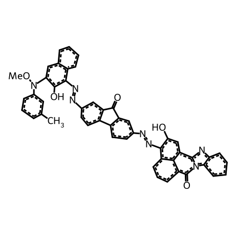 CON(c1cccc(C)c1)c1cc2ccccc2c(N=Nc2ccc3c(c2)C(=O)c2cc(N=Nc4c(O)cc5c6c4cccc6c(=O)n4c6ccccc6nc54)ccc2-3)c1O